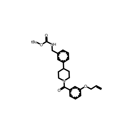 C=CCOc1cccc(C(=O)N2CCC(c3cccc(CNC(=O)OC(C)(C)C)c3)CC2)c1